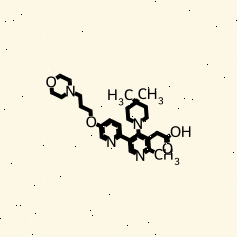 Cc1ncc(-c2ccc(OCCCN3CCOCC3)cn2)c(N2CCC(C)(C)CC2)c1CC(=O)O